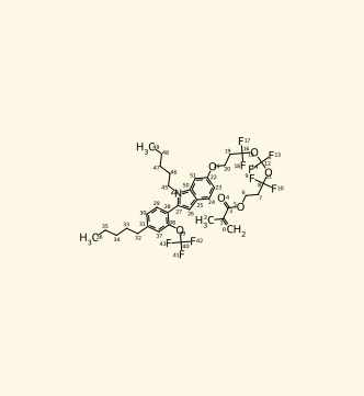 C=C(C)C(=O)OCCC(F)(F)OC(F)(F)OC(F)(F)CCOc1ccc2cc(-c3ccc(CCCCC)cc3OC(F)(F)F)n(CCCCC)c2c1